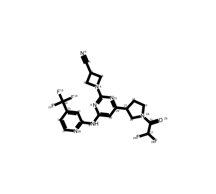 N#CC1CN(c2nc(Nc3cc(C(F)(F)F)ccn3)cc(C3CCN(C(=O)C(F)F)C3)n2)C1